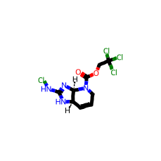 O=C(OCC(Cl)(Cl)Cl)N1CC=C[C@H]2NC(NCl)=N[C@H]21